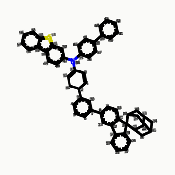 C1=CC(c2cccc(-c3ccc4c(c3)-c3ccccc3C43C4CC5CC(C4)CC3C5)c2)CC=C1N(c1ccc(-c2ccccc2)cc1)c1ccc2c(c1)sc1ccccc12